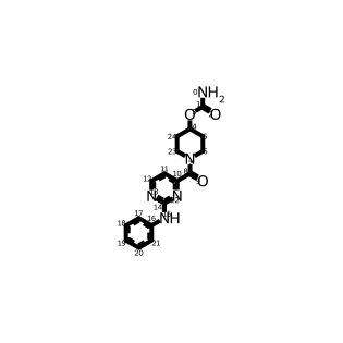 NC(=O)OC1CCN(C(=O)c2ccnc(Nc3ccccc3)n2)CC1